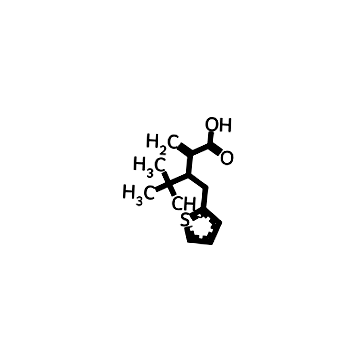 C=C(C(=O)O)C(Cc1cccs1)C(C)(C)C